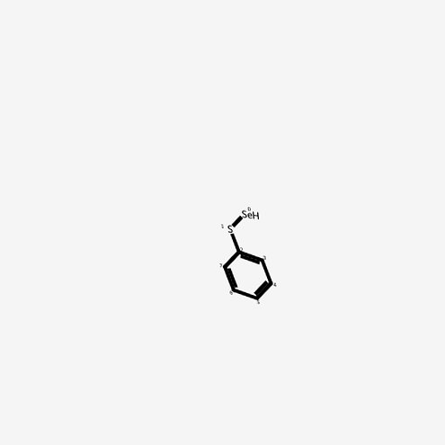 [SeH]Sc1ccccc1